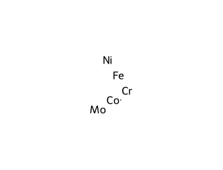 [Co].[Cr].[Fe].[Mo].[Ni]